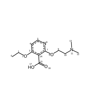 CCOc1ccnc(OCCN(C)C)c1C(=O)O